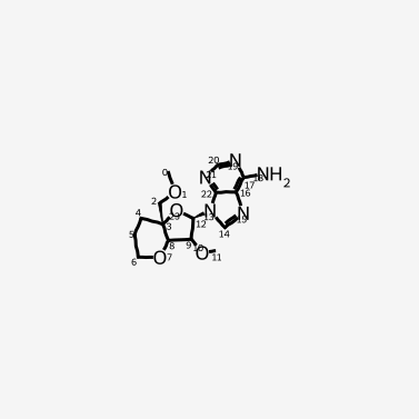 COC[C@]12CCCOC1C(OC)[C@H](n1cnc3c(N)ncnc31)O2